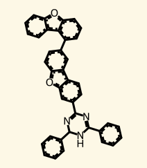 c1ccc(C2=NC(c3ccc4c(c3)oc3ccc(-c5cccc6oc7ccccc7c56)cc34)=NC(c3ccccc3)N2)cc1